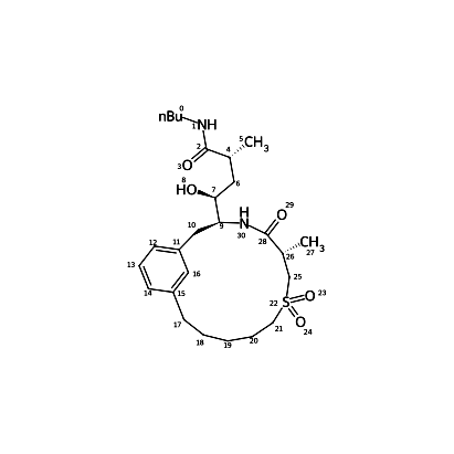 CCCCNC(=O)[C@H](C)C[C@H](O)[C@@H]1Cc2cccc(c2)CCCCCS(=O)(=O)C[C@@H](C)C(=O)N1